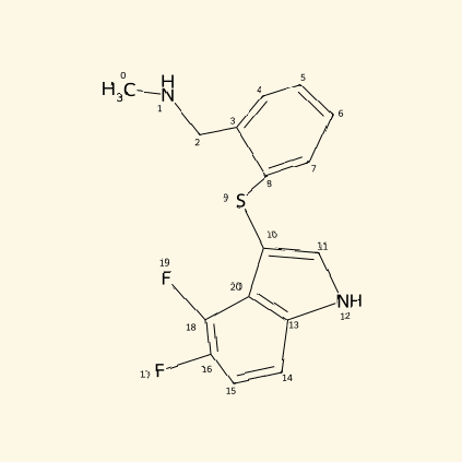 CNCc1ccccc1Sc1c[nH]c2ccc(F)c(F)c12